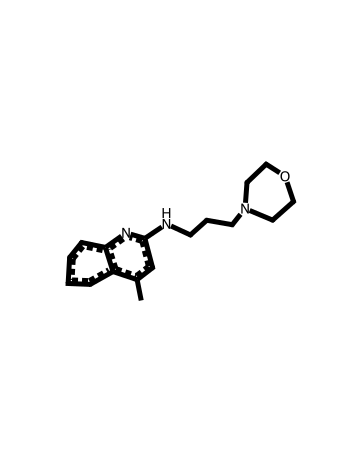 Cc1cc(NCCCN2CCOCC2)nc2ccccc12